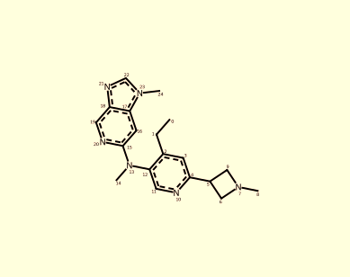 CCc1cc(C2CN(C)C2)ncc1N(C)c1cc2c(cn1)ncn2C